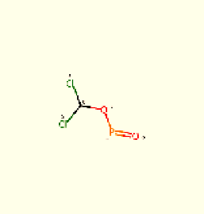 O=POC(Cl)Cl